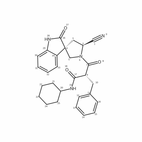 N#C[C@@H]1C[C@@]2(CN1C(=O)[C@H](Cc1ccccc1)C(=O)NC1CCCCC1)C(=O)Nc1ccccc12